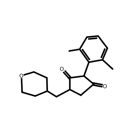 Cc1cccc(C)c1C1C(=O)CC(CC2CCOCC2)C1=O